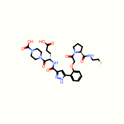 O=C(O)CC[C@H](NC(=O)c1cc(-c2ccccc2OCC(=O)N2CCC[C@H]2C(=O)NCCF)[nH]n1)C(=O)N1CCN(C(=O)O)CC1